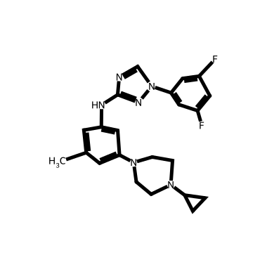 Cc1cc(Nc2ncn(-c3cc(F)cc(F)c3)n2)cc(N2CCN(C3CC3)CC2)c1